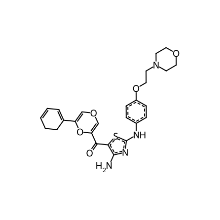 Nc1nc(Nc2ccc(OCCN3CCOCC3)cc2)sc1C(=O)C1=COC=C(C2=CC=CCC2)O1